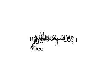 CCCCCCCCCCCCCCCC(=O)N[C@@H](CCC(=O)NCCOCCOCC(=O)NCCCC[C@H](NC)C(=O)O)C(=O)O